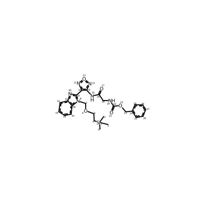 C[Si](C)(C)CCOCn1c(-c2nonc2NC(=O)CNC(=O)OCc2ccccc2)nc2ccccc21